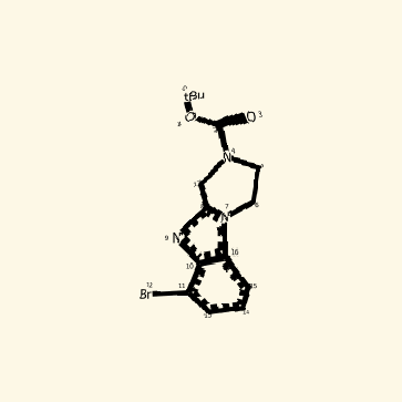 CC(C)(C)OC(=O)N1CCn2c(nc3c(Br)cccc32)C1